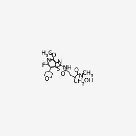 C=C(CCC(=O)Nc1nc2c(OC)nc(F)c(C3CCOCC3)c2s1)C(=O)N(C)CO